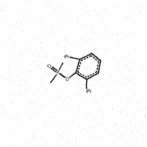 CC(C)c1cccc(C(C)C)c1OP(C)(C)=O